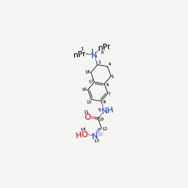 CCCN(CCC)C1CCc2cc(NC(=O)/C=N\O)ccc2C1